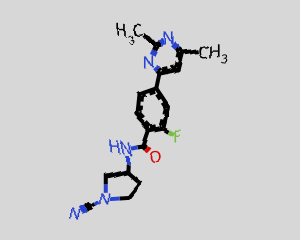 Cc1cc(-c2ccc(C(=O)NC3CCN(C#N)C3)c(F)c2)nc(C)n1